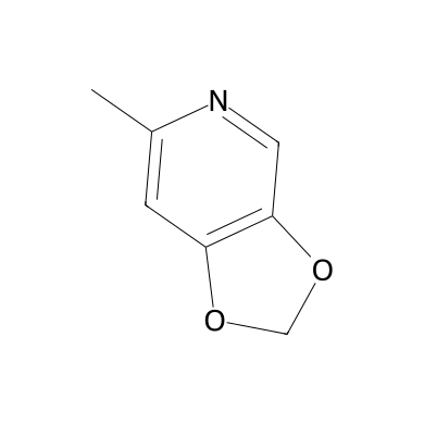 Cc1cc2c(cn1)OCO2